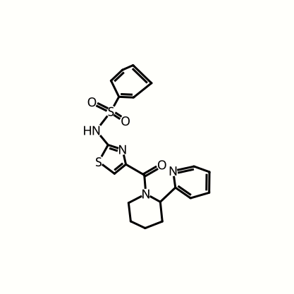 O=C(c1csc(NS(=O)(=O)c2ccccc2)n1)N1CCCCC1c1ccccn1